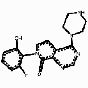 O=c1c2ncnc(N3CCNCC3)c2ccn1-c1c(O)cccc1F